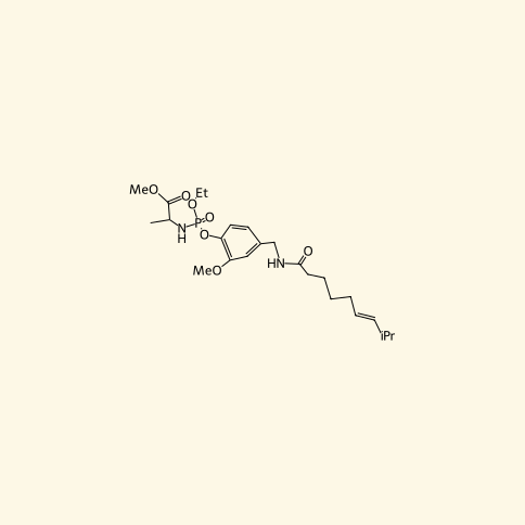 CCOP(=O)(NC(C)C(=O)OC)Oc1ccc(CNC(=O)CCCC/C=C/C(C)C)cc1OC